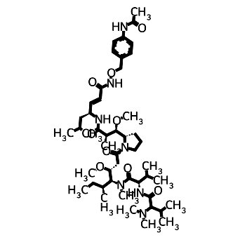 CC[C@H](C)[C@@H]([C@@H](CC(=O)N1CCC[C@H]1[C@H](OC)[C@@H](C)C(=O)N[C@H](/C=C/C(=O)NOCc1ccc(NC(C)=O)cc1)CC(C)C)OC)N(C)C(=O)[C@@H](NC(=O)C(C(C)C)N(C)C)C(C)C